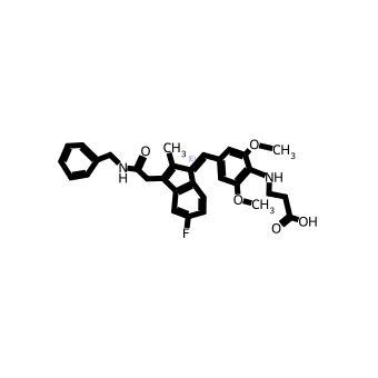 COc1cc(/C=C2/C(C)=C(CC(=O)NCc3ccccc3)c3cc(F)ccc32)cc(OC)c1NCCC(=O)O